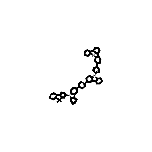 CC1(C)c2ccccc2-c2ccc(-n3c4ccccc4c4cc(-c5ccc(-c6ccc7c(c6)c6ccccc6n7-c6ccc(-c7ccc8c9cccc%10c%11ccccc%11n(c8c7)c%109)cc6)cc5)ccc43)cc21